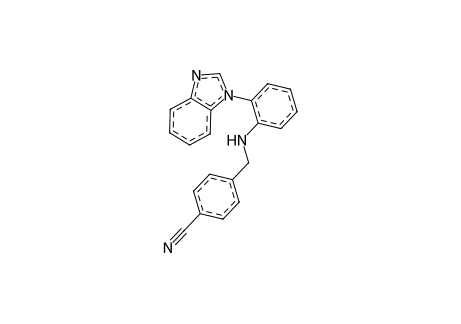 N#Cc1ccc(CNc2ccccc2-n2cnc3ccccc32)cc1